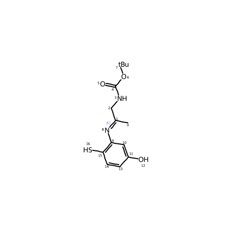 C/C(CNC(=O)OC(C)(C)C)=N\c1cc(O)ccc1S